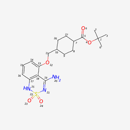 CC(C)(C)OC(=O)C1CCC(COc2cccc3c2C(N)=NS(=O)(=O)N3)CC1